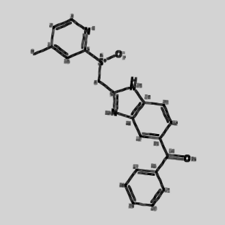 Cc1ccnc([S+]([O-])Cc2nc3cc(C(=O)c4ccccc4)ccc3[nH]2)c1